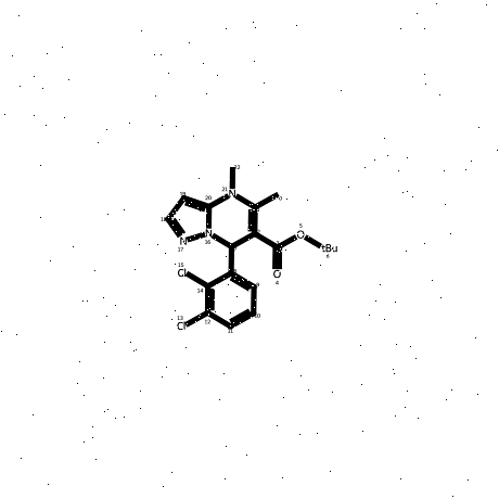 CC1=C(C(=O)OC(C)(C)C)C(c2cccc(Cl)c2Cl)n2nccc2N1C